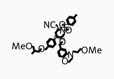 COCCCN1CCOc2ccc(CO[C@H]3CN(S(=O)(=O)c4ccc(C)cc4)[C@H](CC#N)C[C@@H]3c3ccc(COCC(C)COC)cc3)cc21